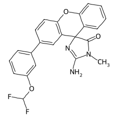 CN1C(=O)C2(N=C1N)c1ccccc1Oc1ccc(-c3cccc(OC(F)F)c3)cc12